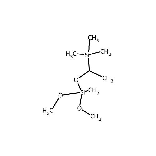 CO[Si](C)(OC)OC(C)[Si](C)(C)C